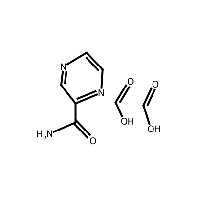 NC(=O)c1cnccn1.O=CO.O=CO